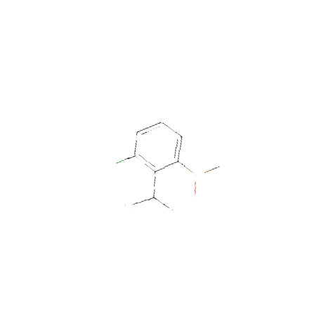 CC(c1c(F)cccc1[S+](C)[O-])C(C)(C)C